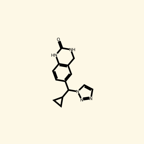 O=C1NCc2cc(C(C3CC3)n3ccnn3)ccc2N1